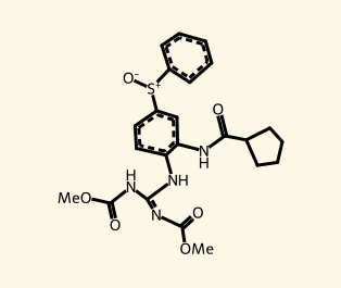 COC(=O)N=C(NC(=O)OC)Nc1ccc([S+]([O-])c2ccccc2)cc1NC(=O)C1CCCC1